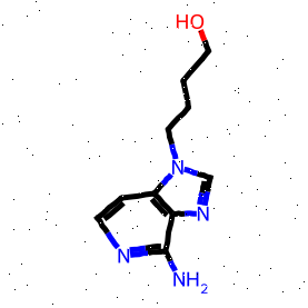 Nc1nccc2c1ncn2CCCCO